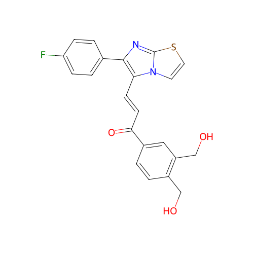 O=C(/C=C/c1c(-c2ccc(F)cc2)nc2sccn12)c1ccc(CO)c(CO)c1